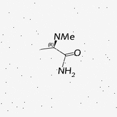 CN[C@H](C)C(N)=O